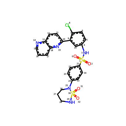 O=S(=O)(Nc1ccc(Cl)c(-c2ccc3ncccc3n2)c1)c1ccc(N2CCCNS2(=O)=O)cc1